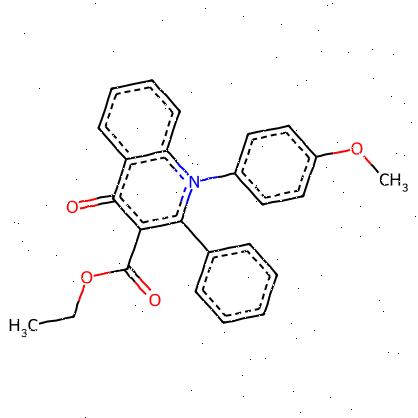 CCOC(=O)c1c(-c2ccccc2)n(-c2ccc(OC)cc2)c2ccccc2c1=O